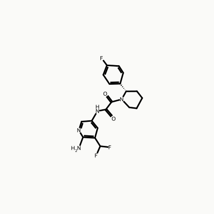 Nc1ncc(NC(=O)C(=O)N2CCCC[C@H]2c2ccc(F)cc2)cc1C(F)F